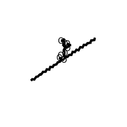 CCCCC/C=C/CCCCCCCCCCC(=O)OC(CCCCCCCCCCCCCCCC)C(=O)OCC(COC(C)=O)OC(C)=O